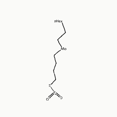 CCCCCCC[CH2][Mo][CH2]CCCSP(=O)=O